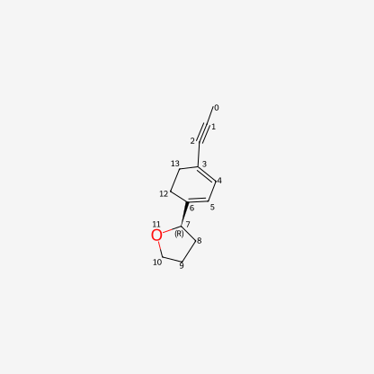 CC#CC1=CC=C([C@H]2CCCO2)CC1